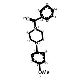 COc1ccc(N2CCN(C(=O)c3ccccc3)CC2)cc1